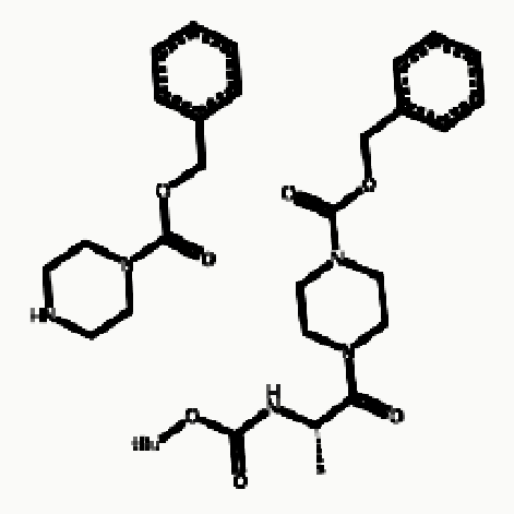 C[C@H](NC(=O)OC(C)(C)C)C(=O)N1CCN(C(=O)OCc2ccccc2)CC1.O=C(OCc1ccccc1)N1CCNCC1